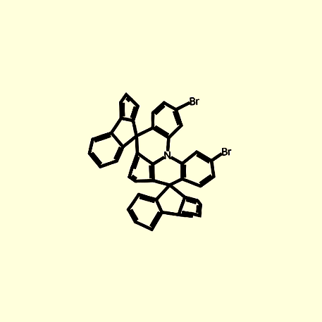 Brc1ccc2c(c1)N1c3cc(Br)ccc3C3(c4ccccc4-c4ccccc43)c3cccc(c31)C21c2ccccc2-c2ccccc21